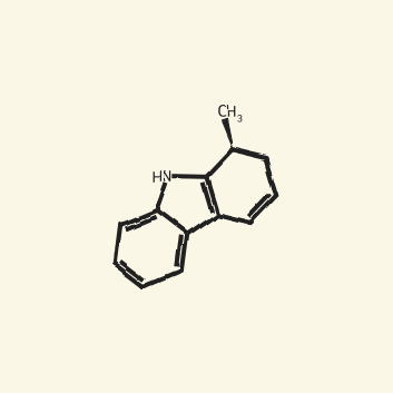 C[C@H]1CC=Cc2c1[nH]c1ccccc21